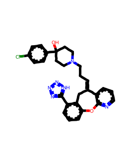 OC1(c2ccc(Cl)cc2)CCN(CCC=C2Cc3c(cccc3-c3nnn[nH]3)Oc3ncccc32)CC1